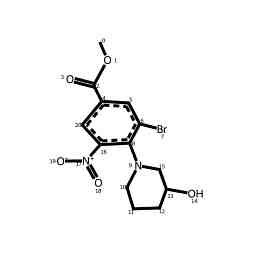 COC(=O)c1cc(Br)c(N2CCCC(O)C2)c([N+](=O)[O-])c1